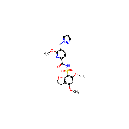 COc1cc(OC)c(S(=O)(=O)NC(=O)c2ccc(Cn3cccn3)c(OC)n2)c2c1CCO2